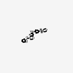 O=C(Nc1ccccc1)N1CCOc2cc(Nc3ccc(S(=O)(=O)N4CCOCC4)cc3)cnc21